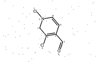 O=[C]C1=C(Cl)CN(Cl)C=C1